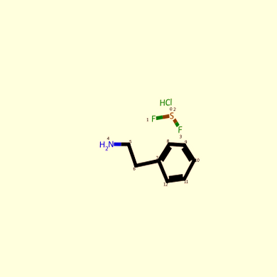 Cl.FSF.NCCc1ccccc1